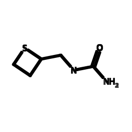 NC(=O)[N]CC1CCS1